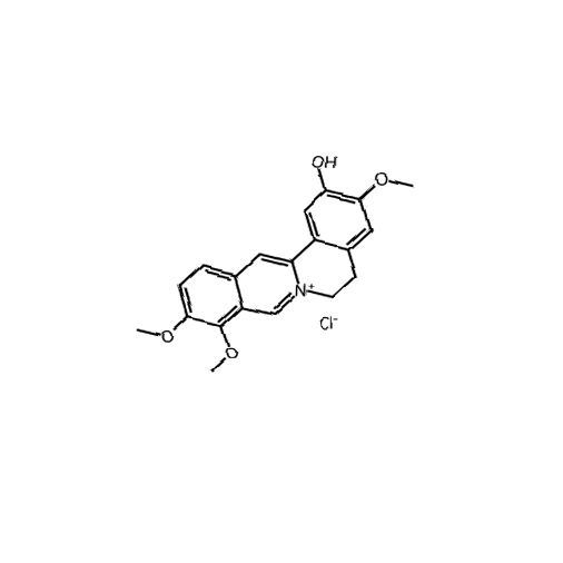 COc1cc2c(cc1O)-c1cc3ccc(OC)c(OC)c3c[n+]1CC2.[Cl-]